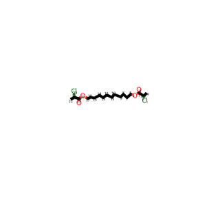 CC(Cl)C(=O)OCCCCCCCCCCCCOC(=O)C(C)Cl